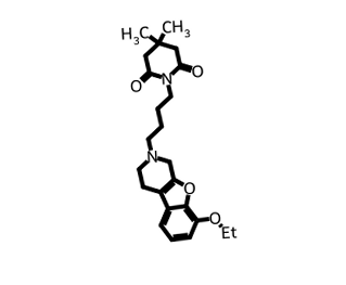 CCOc1cccc2c3c(oc12)CN(CCCCN1C(=O)CC(C)(C)CC1=O)CC3